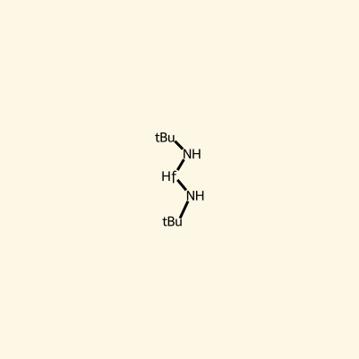 CC(C)(C)[NH][Hf][NH]C(C)(C)C